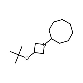 CC(C)(C)OC1CN(C2CCCCCCC2)C1